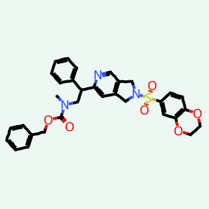 CN(CC(c1ccccc1)c1cc2c(cn1)CN(S(=O)(=O)c1ccc3c(c1)OCCO3)C2)C(=O)OCc1ccccc1